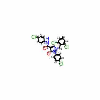 O=C(Nc1ccc(Cl)cc1)c1cn(Cc2c(Cl)cccc2Cl)n(-c2ccc(Cl)cc2)c1=O